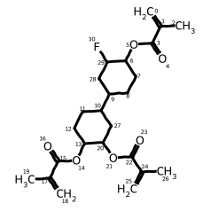 C=C(C)C(=O)OC1CCC(C2CCC(OC(=O)C(=C)C)C(OC(=O)C(=C)C)C2)CC1F